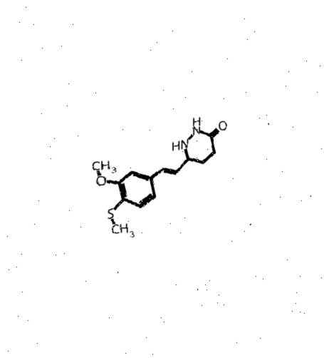 COc1cc(/C=C/C2CCC(=O)NN2)ccc1SC